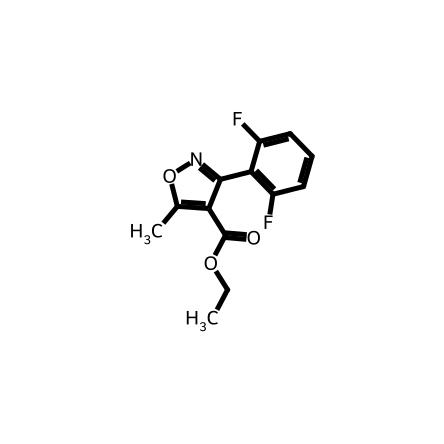 CCOC(=O)c1c(-c2c(F)cccc2F)noc1C